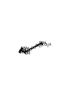 CNN(C)Cc1cc2ccccc2n1CCC(=O)NC(CO)C(=O)NCCOCCOCCOCCOCCOCCOCCC(=O)N(C)C(C)C(=O)O